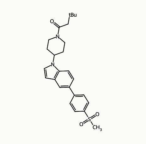 CC(C)(C)CC(=O)N1CCC(n2ccc3cc(-c4ccc(S(C)(=O)=O)cc4)ccc32)CC1